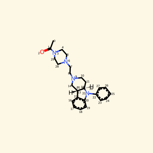 CC(=O)N1CCN(CCN2CC[C@@H]3[C@@H](C2)c2ccccc2N3c2ccccc2)CC1